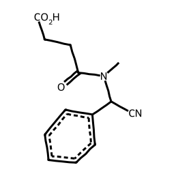 CN(C(=O)CCC(=O)O)C(C#N)c1ccccc1